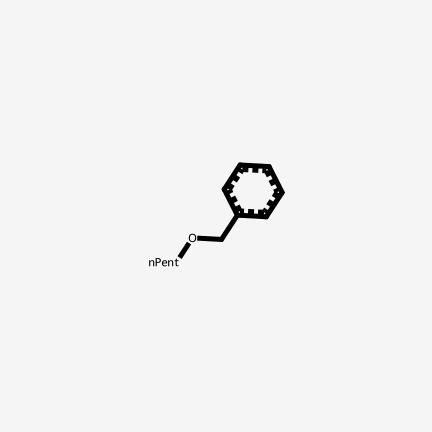 CC[CH]CCOCc1ccccc1